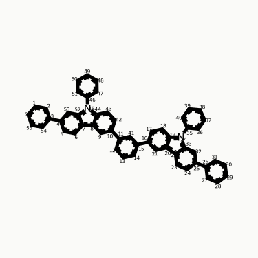 c1ccc(-c2ccc3c4cc(-c5cccc(-c6ccc7c(c6)c6ccc(-c8ccccc8)cc6n7-c6ccccc6)c5)ccc4n(-c4ccccc4)c3c2)cc1